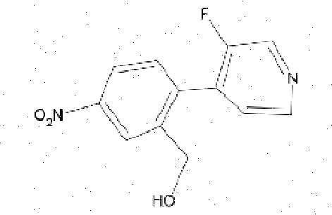 O=[N+]([O-])c1ccc(-c2ccncc2F)c(CO)c1